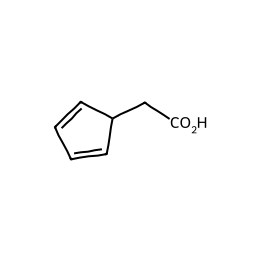 O=C(O)CC1C=CC=C1